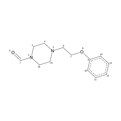 O=CN1CCN(CCOc2ccccc2)CC1